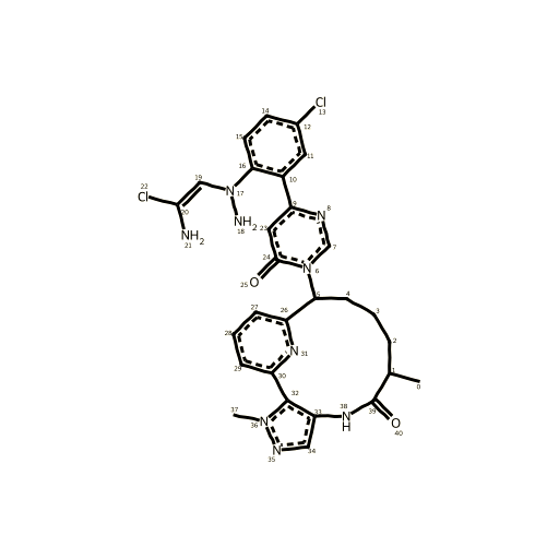 CC1CCCC(n2cnc(-c3cc(Cl)ccc3N(N)/C=C(\N)Cl)cc2=O)c2cccc(n2)-c2c(cnn2C)NC1=O